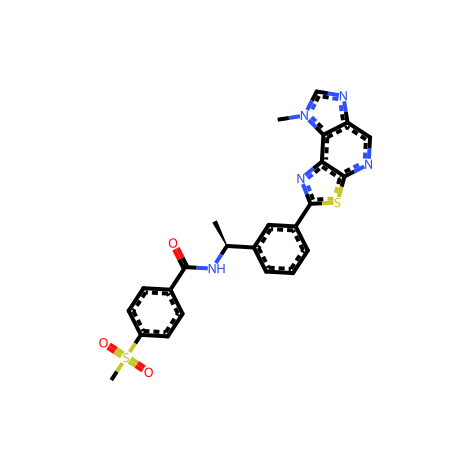 C[C@H](NC(=O)c1ccc(S(C)(=O)=O)cc1)c1cccc(-c2nc3c(ncc4ncn(C)c43)s2)c1